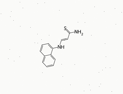 NC(=S)/C=C/Nc1cccc2ccccc12